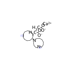 C1=C\CCCC(N2CCCCC/C=N/CCC2)CCCCC/1.CC(=O)[O-].CC(=O)[O-].[Ca+2]